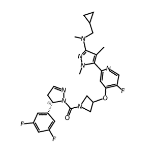 Cc1c(N(C)CC2CC2)nn(C)c1-c1cc(OC2CN(C(=O)N3N=CC[C@H]3c3cc(F)cc(F)c3)C2)c(F)cn1